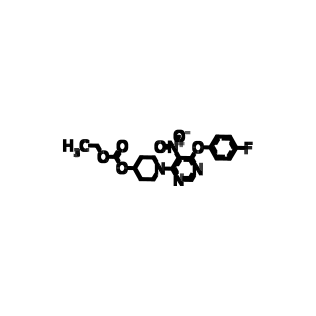 CCOC(=O)OC1CCN(c2ncnc(Oc3ccc(F)cc3)c2[N+](=O)[O-])CC1